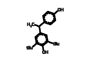 CC(c1ccc(O)cc1)c1cc(C(C)(C)C)c(O)c(C(C)(C)C)c1